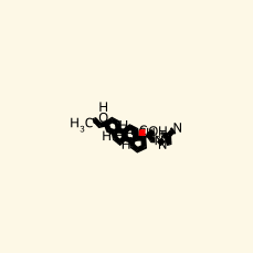 CCC[C@@]1(O)CC[C@H]2[C@@H](CC[C@@H]3[C@@H]2CC[C@]2(C)[C@@H](C(C)(O)Cn4cc(C#N)cn4)CCC[C@@H]32)C1